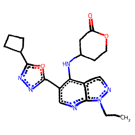 CCn1ncc2c(NC3CCOC(=O)C3)c(-c3nnc(C4CCC4)o3)cnc21